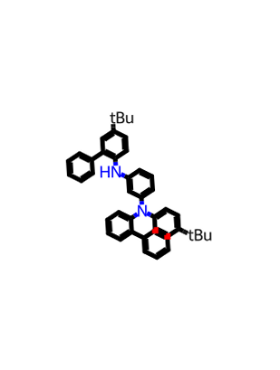 CC(C)(C)c1ccc(N(c2cccc(Nc3ccc(C(C)(C)C)cc3-c3ccccc3)c2)c2ccccc2-c2ccccc2)cc1